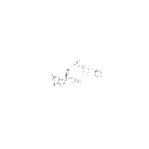 Nc1nc2c(ncn2[C@@H]2O[C@@H]3CO[PH](=O)O[C@H]4C[C@H](Oc5ccncn5)C[C@@H]4COP(=O)(S)O[C@@H]2[C@@H]3F)c(=O)[nH]1